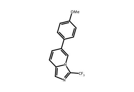 COc1ccc(-c2ccc3cnc(C(F)(F)F)n3c2)cc1